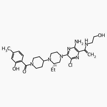 C=C(NCCO)c1nc(Cl)c(N2CCN(C3CCN(C(=O)c4ccc(C)cc4O)CC3)[C@@H](CC)C2)nc1N